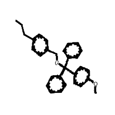 CCCc1ccc(COC(c2ccccc2)(c2ccccc2)c2ccc(OC)cc2)cc1